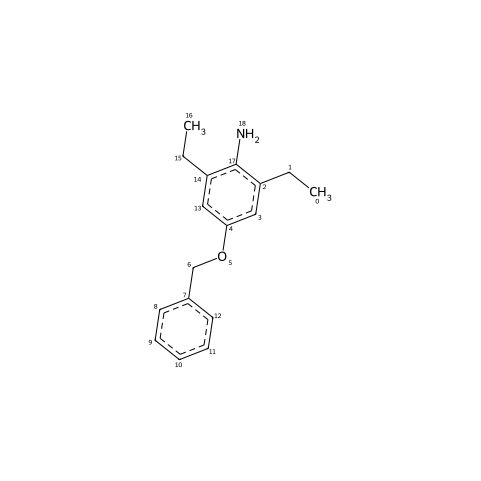 CCc1cc(OCc2ccccc2)cc(CC)c1N